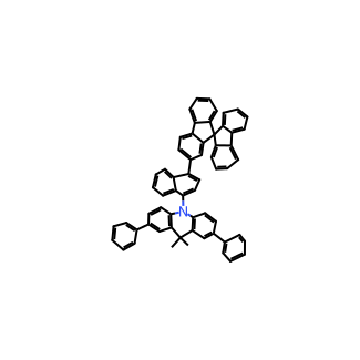 CC1(C)c2cc(-c3ccccc3)ccc2N(c2ccc(-c3ccc4c(c3)C3(c5ccccc5-c5ccccc53)c3ccccc3-4)c3ccccc23)c2ccc(-c3ccccc3)cc21